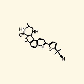 CC1CNc2c(oc3ccc4nc(-c5ccc(C(C)(C)C#N)s5)ccc4c23)C(=O)N1